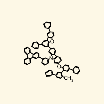 Cc1ccc(-c2ccccc2)cc1-c1cc(-c2ccccc2)ccc1Oc1ccc2c3ccc(-c4cc(-c5ccccc5)cc5c4oc4ccc(-c6ccccc6)cc45)cc3n(-c3cccc(-c4ccc5c6ccccc6c6ccccc6c5c4)c3)c2c1